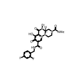 CCN1C(=O)c2c(O)c(=O)c(C(=O)NCc3ccc(F)cc3F)cn2N2CCN(C(=O)NC)C[C@@H]12